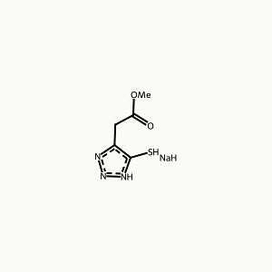 COC(=O)Cc1nn[nH]c1S.[NaH]